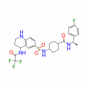 C[C@@H](NC(=O)C1CCC(NS(=O)(=O)c2ccc3c(c2)C(NC(=O)C(F)(F)F)CCN3)CC1)c1ccc(F)cc1